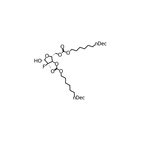 CCCCCCCCCCCCCCCCOC(=O)OC[C@H]1O[C@@H](O)[C@](C)(F)[C@@H]1OC(=O)OCCCCCCCCCCCCCCCC